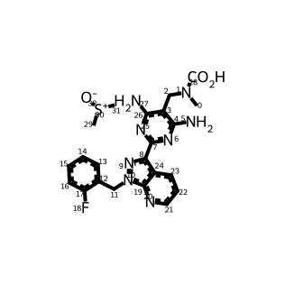 CN(Cc1c(N)nc(-c2nn(Cc3ccccc3F)c3ncccc23)nc1N)C(=O)O.C[S+](C)[O-]